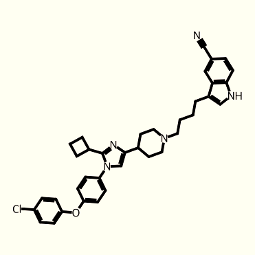 N#Cc1ccc2[nH]cc(CCCCN3CCC(c4cn(-c5ccc(Oc6ccc(Cl)cc6)cc5)c(C5CCC5)n4)CC3)c2c1